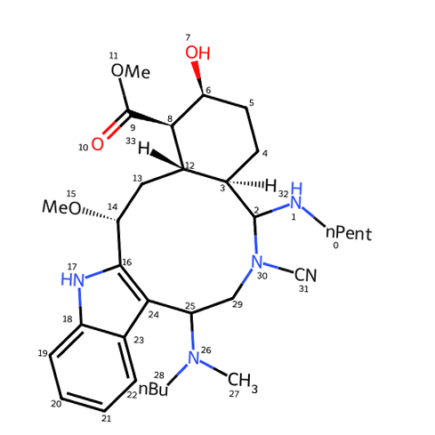 CCCCCNC1[C@@H]2CC[C@H](O)[C@H](C(=O)OC)[C@H]2C[C@@H](OC)c2[nH]c3ccccc3c2C(N(C)CCCC)CN1C#N